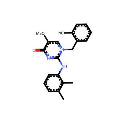 COc1cn(Cc2ccccc2C#N)c(Nc2cccc(C)c2C)nc1=O